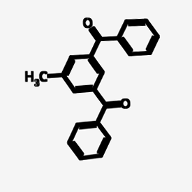 Cc1cc(C(=O)c2ccccc2)cc(C(=O)c2ccccc2)c1